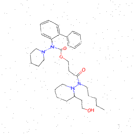 CCCCCN(C(=O)CCOC(=O)N(c1ccccc1-c1ccccc1)N1CC[CH]CC1)N1CCCCC1CCO